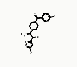 CC(C(O)c1cc(Br)no1)N1CCC(C(=O)c2ccc(F)cc2)CC1